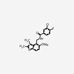 COc1ccc2nc(C)n(C)c2c1CNC(=O)c1ccc(F)c(Cl)c1